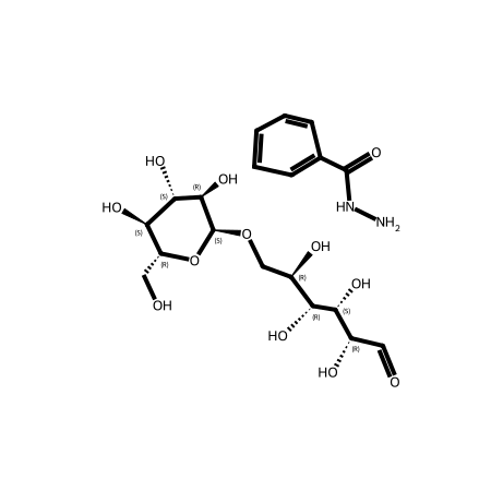 NNC(=O)c1ccccc1.O=C[C@H](O)[C@@H](O)[C@H](O)[C@H](O)CO[C@H]1O[C@H](CO)[C@@H](O)[C@H](O)[C@H]1O